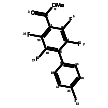 COC(=O)c1c(F)c(F)c(-c2ccc(F)cc2)c(F)c1F